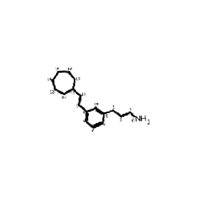 NCCCc1cccc(CCC2CCCCCC2)c1